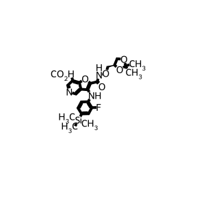 CC1(C)OC[C@H](CONC(=O)c2oc3c(C(=O)O)cncc3c2Nc2ccc([Si](C)(C)C)cc2F)O1